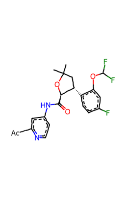 CC(=O)c1cc(NC(=O)[C@H]2OC(C)(C)C[C@@H]2c2ccc(F)cc2OC(F)F)ccn1